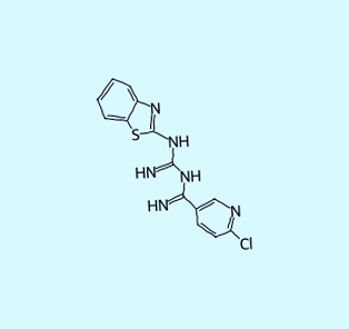 N=C(NC(=N)c1ccc(Cl)nc1)Nc1nc2ccccc2s1